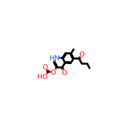 CCCC(=O)c1cc2c(=O)c(OC(=O)O)c[nH]c2cc1C